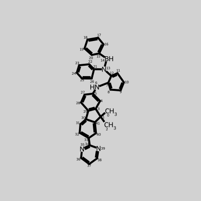 CC1(C)c2cc(Nc3ccccc3N(Bc3ccccc3)c3ccccc3)ccc2-c2ccc(-c3ncccn3)cc21